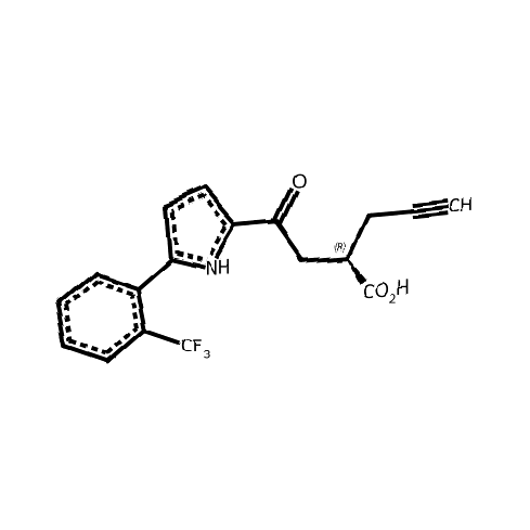 C#CC[C@H](CC(=O)c1ccc(-c2ccccc2C(F)(F)F)[nH]1)C(=O)O